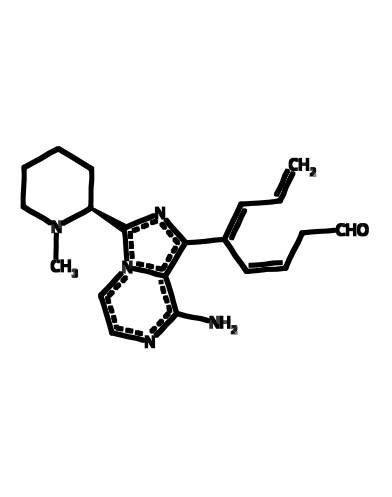 C=C/C=C(\C=C/CC=O)c1nc([C@@H]2CCCCN2C)n2ccnc(N)c12